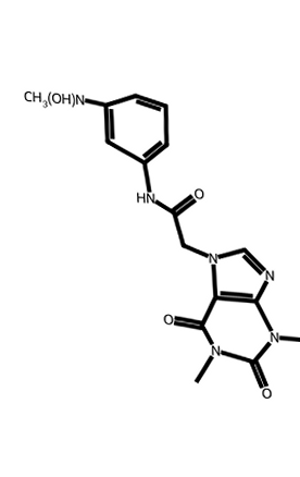 CN(O)c1cccc(NC(=O)Cn2cnc3c2c(=O)n(C)c(=O)n3C)c1